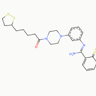 NC(=Nc1cccc(N2CCN(C(=O)CCCCC3CCSS3)CC2)c1)C1=CC=CCC1=S